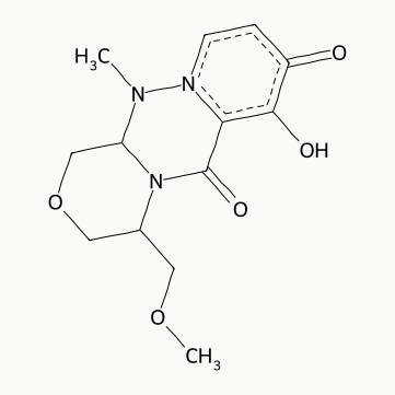 COCC1COCC2N1C(=O)c1c(O)c(=O)ccn1N2C